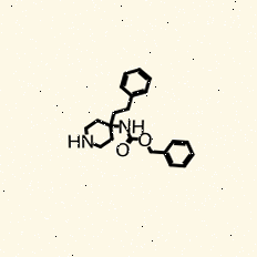 O=C(NC1(CCc2ccccc2)CCNCC1)OCc1ccccc1